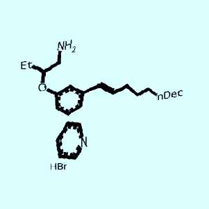 Br.CCCCCCCCCCCCCC=Cc1cccc(OC(CC)CN)c1.c1ccncc1